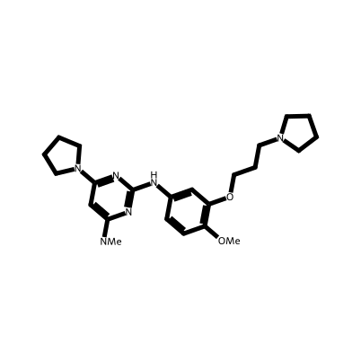 CNc1cc(N2CCCC2)nc(Nc2ccc(OC)c(OCCCN3CCCC3)c2)n1